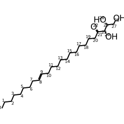 CCCCCCCCC=CCCCCCCCCCCCC(=O)C(O)C(O)CO